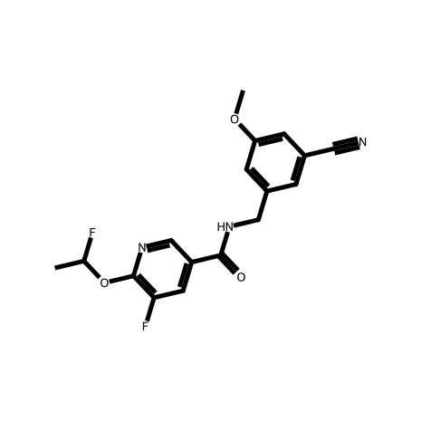 COc1cc(C#N)cc(CNC(=O)c2cnc(OC(C)F)c(F)c2)c1